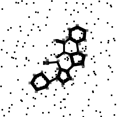 CC1c2c(-c3nnn(-c4ccccc4)c3CO)ncn2-c2ccccc2[N+]1=O